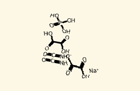 N=C=O.N=C=O.O=C(O)C(=O)O.O=C([O-])C(=O)O.O=P(O)(O)O.[Na+]